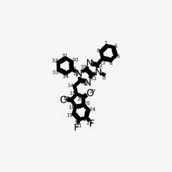 Cn1c(-c2ccccc2)nc2c1nc(CC1C(=O)c3cc(F)c(F)cc3C1=O)n2-c1ccccc1